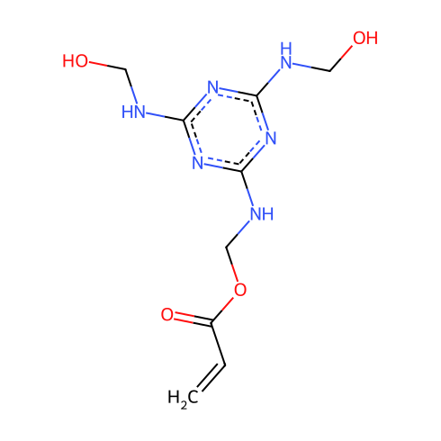 C=CC(=O)OCNc1nc(NCO)nc(NCO)n1